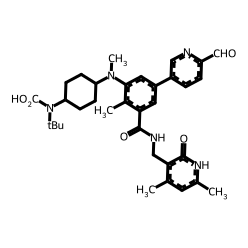 Cc1cc(C)c(CNC(=O)c2cc(-c3ccc(C=O)nc3)cc(N(C)C3CCC(N(C(=O)O)C(C)(C)C)CC3)c2C)c(=O)[nH]1